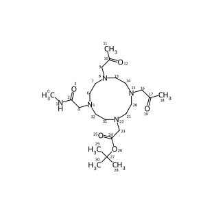 CNC(=O)CN1CCN(CC(C)=O)CCN(CC(C)=O)CCN(CC(=O)OC(C)(C)C)CC1